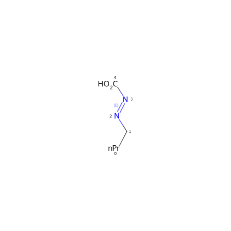 CCCC/N=N/C(=O)O